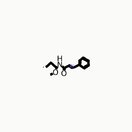 [CH2]CC(NC(=O)/C=C/c1ccccc1)OC